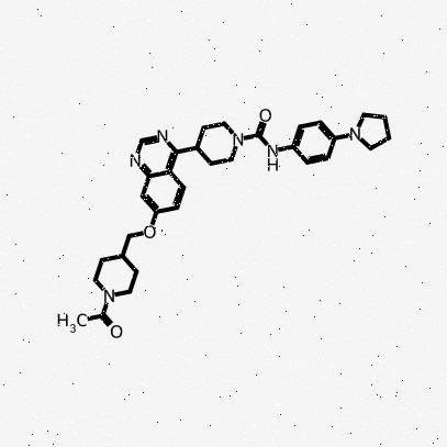 CC(=O)N1CCC(COc2ccc3c(C4CCN(C(=O)Nc5ccc(N6CCCC6)cc5)CC4)ncnc3c2)CC1